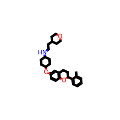 Cc1ccccc1C1CCc2cc(OC3CCC(NCCC4CCOCC4)CC3)ccc2O1